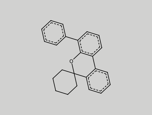 c1ccc(-c2cccc3c2OC2(CCCCC2)c2ccccc2-3)cc1